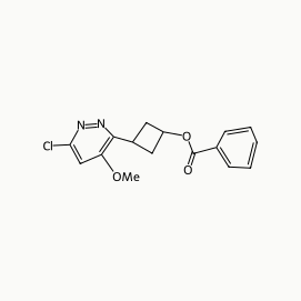 COc1cc(Cl)nnc1C1CC(OC(=O)c2ccccc2)C1